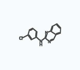 Clc1cccc(Nc2ncc3ccccc3n2)c1